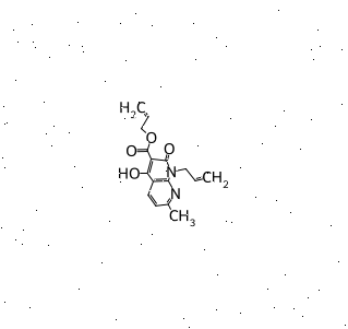 C=CCOC(=O)c1c(O)c2ccc(C)nc2n(CC=C)c1=O